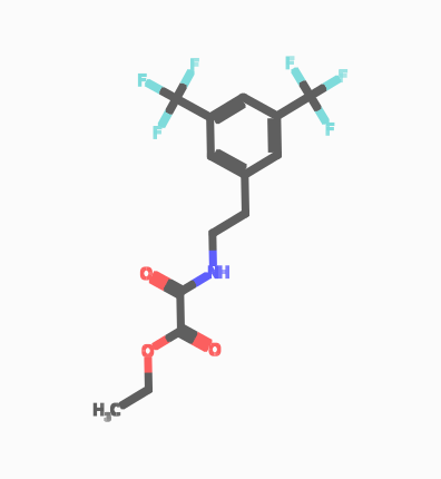 CCOC(=O)C(=O)NCCc1cc(C(F)(F)F)cc(C(F)(F)F)c1